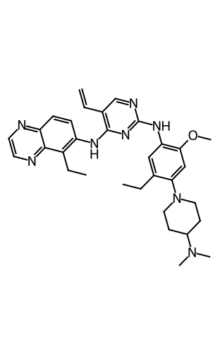 C=Cc1cnc(Nc2cc(CC)c(N3CCC(N(C)C)CC3)cc2OC)nc1Nc1ccc2nccnc2c1CC